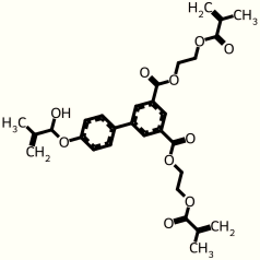 C=C(C)C(=O)OCCOC(=O)c1cc(C(=O)OCCOC(=O)C(=C)C)cc(-c2ccc(OC(O)C(=C)C)cc2)c1